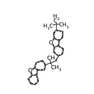 CC(C)(C)c1ccc2c(c1)oc1cc(CC(C)(C)c3ccc4oc5ccccc5c4c3)ccc12